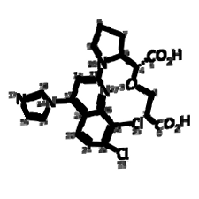 O=C(O)CCO[C@@H](C(=O)O)C1CCCN1c1cc(-n2ccnc2)c2ccc(Cl)c(Cl)c2n1